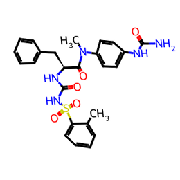 Cc1ccccc1S(=O)(=O)NC(=O)N[C@@H](Cc1ccccc1)C(=O)N(C)c1ccc(NC(N)=O)cc1